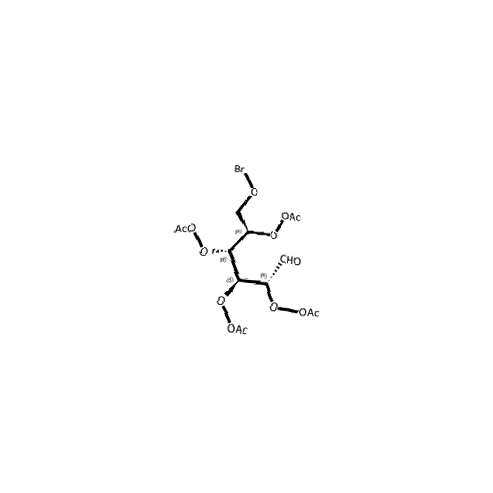 CC(=O)OO[C@@H]([C@H](OOC(C)=O)[C@@H](COBr)OOC(C)=O)[C@H](C=O)OOC(C)=O